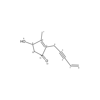 C=CC#CCC1=C(C)C(O)CC1=O